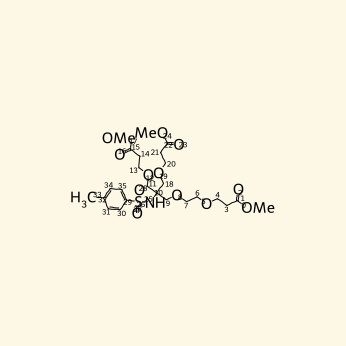 COC(=O)CCOCCOCC(COCCC(=O)OC)(COCCC(=O)OC)NS(=O)(=O)c1ccc(C)cc1